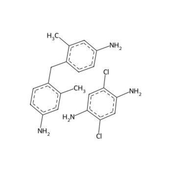 Cc1cc(N)ccc1Cc1ccc(N)cc1C.Nc1cc(Cl)c(N)cc1Cl